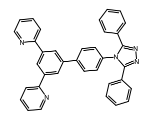 c1ccc(-c2nnc(-c3ccccc3)n2-c2ccc(-c3cc(-c4ccccn4)cc(-c4ccccn4)c3)cc2)cc1